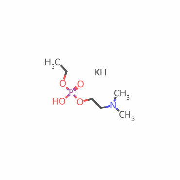 CCOP(=O)(O)OCCN(C)C.[KH]